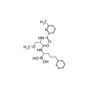 COCC(NC(=O)c1cccc(C)n1)C(=O)NC(CCCc1ccccc1)B(O)O